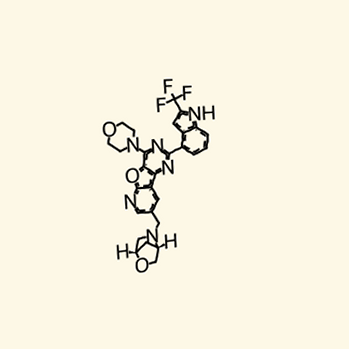 FC(F)(F)c1cc2c(-c3nc(N4CCOCC4)c4oc5ncc(CN6C[C@@H]7C[C@H]6CO7)cc5c4n3)cccc2[nH]1